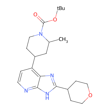 CC1CC(c2ccnc3[nH]c(C4CCOCC4)nc23)CCN1C(=O)OC(C)(C)C